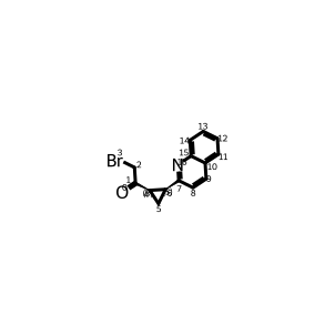 O=C(CBr)[C@@H]1C[C@@H]1c1ccc2ccccc2n1